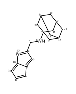 C1=CC2=CC(CNC34CC5CC(CC(C5)C3)C4)=NC2=C1